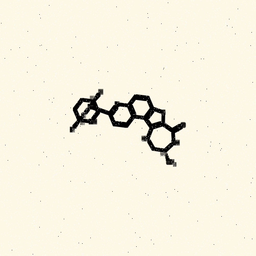 C[C@@H]1CNc2c(sc3ccc4nc(N5C[C@H]6CC[C@@H]5CN6)ccc4c23)C(=O)N1